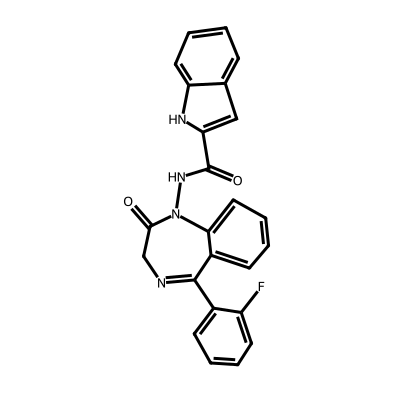 O=C(NN1C(=O)CN=C(c2ccccc2F)c2ccccc21)c1cc2ccccc2[nH]1